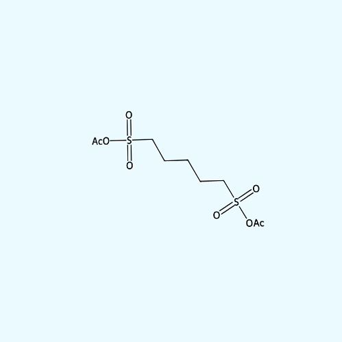 CC(=O)OS(=O)(=O)CCCCCS(=O)(=O)OC(C)=O